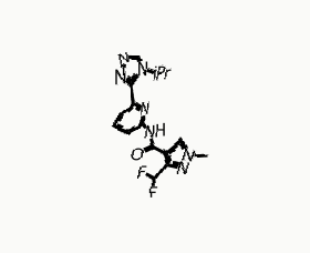 CC(C)n1cnnc1-c1cccc(NC(=O)c2cn(C)nc2C(F)F)n1